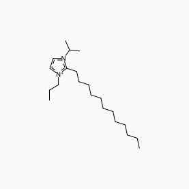 CCCCCCCCCCCCc1n(C(C)C)cc[n+]1CCC